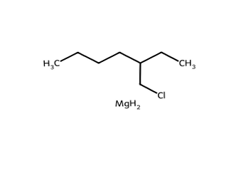 CCCCC(CC)CCl.[MgH2]